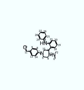 CN(C)N1CCN(c2ccc(C=O)cc2)CC1c1ccccc1Nc1ccccc1